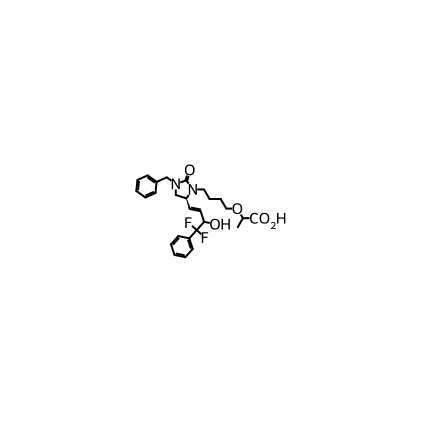 CC(OCCCCN1C(=O)N(Cc2ccccc2)C[C@@H]1/C=C/C(O)C(F)(F)c1ccccc1)C(=O)O